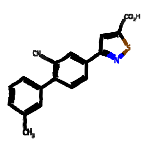 [C-]#[N+]c1cc(-c2cc(C(=O)O)sn2)ccc1-c1cccc(C)c1